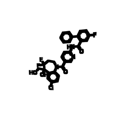 O=C(Nc1ccc(C(=O)N2CCC(F)(F)C(O)(CO)c3cc(Cl)ccc32)cn1)c1cc(F)ccc1-c1ccccc1